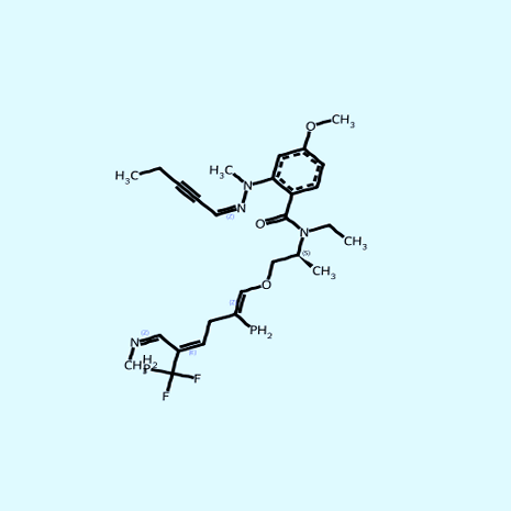 CCC#C/C=N\N(C)c1cc(OC)ccc1C(=O)N(CC)[C@@H](C)CO/C=C(\P)C/C=C(\C=N/C)C(F)(F)P